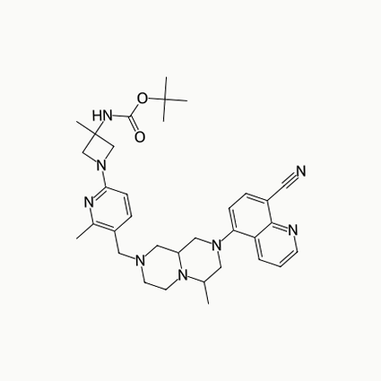 Cc1nc(N2CC(C)(NC(=O)OC(C)(C)C)C2)ccc1CN1CCN2C(C)CN(c3ccc(C#N)c4ncccc34)CC2C1